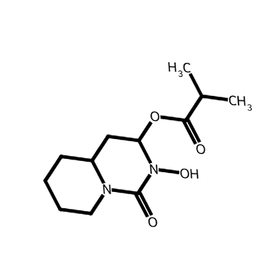 CC(C)C(=O)OC1CC2CCCCN2C(=O)N1O